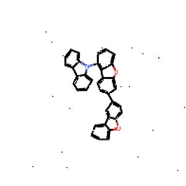 c1ccc2c(c1)oc1ccc(-c3ccc4c(c3)oc3cccc(-n5c6ccccc6c6ccccc65)c34)cc12